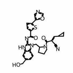 N#CC(=CC1CC1)C(=O)N1CCCC1Cn1c(=NC(=O)c2ccc(-c3cnco3)s2)[nH]c2cc(CO)ccc21